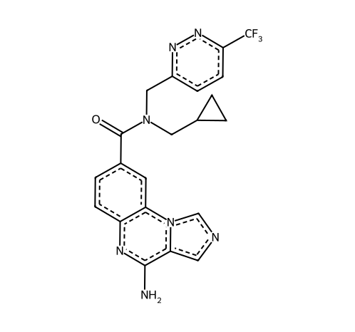 Nc1nc2ccc(C(=O)N(Cc3ccc(C(F)(F)F)nn3)CC3CC3)cc2n2cncc12